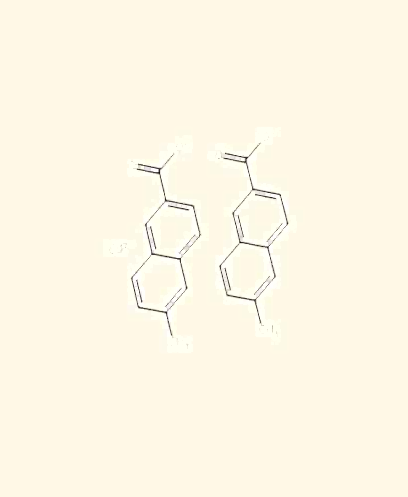 Cc1ccc2cc(C(=O)[O-])ccc2c1.Cc1ccc2cc(C(=O)[O-])ccc2c1.[Cd+2]